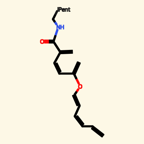 C=C/C=C\C=C\OC(=C)/C=C\C(=C)C(=O)NCC(C)CCC